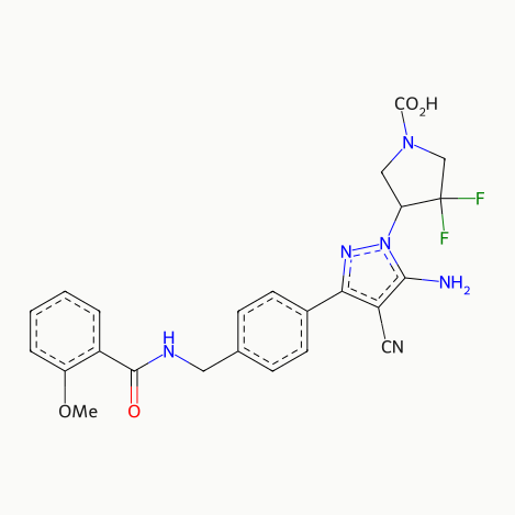 COc1ccccc1C(=O)NCc1ccc(-c2nn(C3CN(C(=O)O)CC3(F)F)c(N)c2C#N)cc1